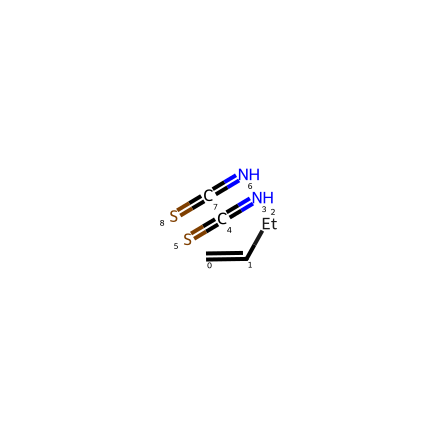 C=CCC.N=C=S.N=C=S